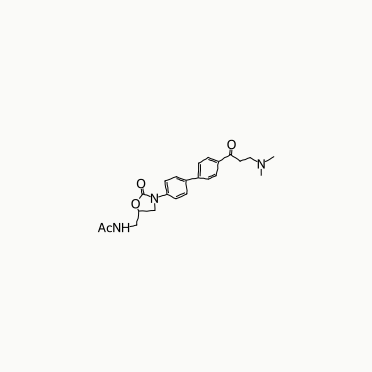 CC(=O)NCC1CN(c2ccc(-c3ccc(C(=O)CCN(C)C)cc3)cc2)C(=O)O1